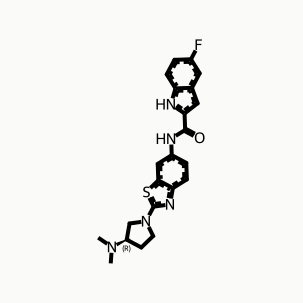 CN(C)[C@@H]1CCN(c2nc3ccc(NC(=O)c4cc5cc(F)ccc5[nH]4)cc3s2)C1